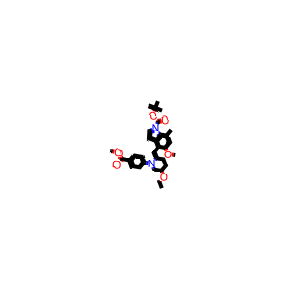 CCOC1CC/C(=C\c2c(OC)cc(C)c3c2ccn3C(=O)OC(C)(C)C)N(c2ccc(C(=O)OC)cc2)C1